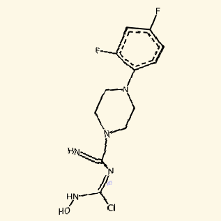 N=C(/N=C(/Cl)NO)N1CCN(c2ccc(F)cc2F)CC1